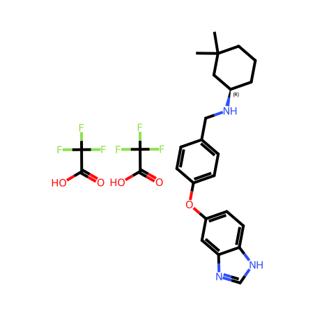 CC1(C)CCC[C@@H](NCc2ccc(Oc3ccc4[nH]cnc4c3)cc2)C1.O=C(O)C(F)(F)F.O=C(O)C(F)(F)F